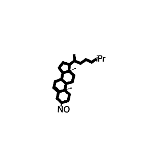 CC(C)CCCC(C)C1CCC2C3CC=C4C[C@@H](N=O)CC[C@]4(C)C3CC[C@]12C